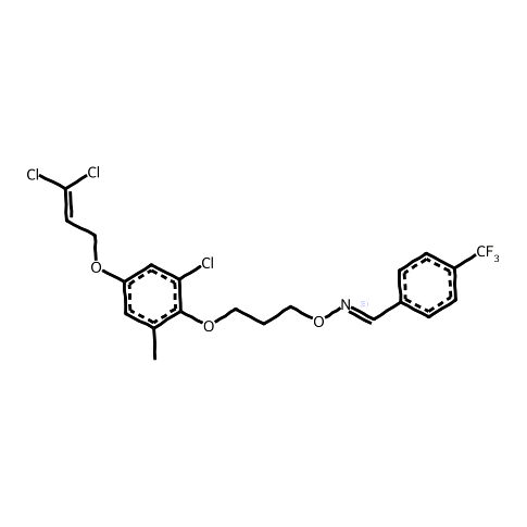 Cc1cc(OCC=C(Cl)Cl)cc(Cl)c1OCCCO/N=C/c1ccc(C(F)(F)F)cc1